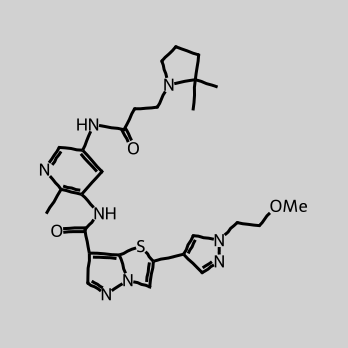 COCCn1cc(-c2cn3ncc(C(=O)Nc4cc(NC(=O)CCN5CCCC5(C)C)cnc4C)c3s2)cn1